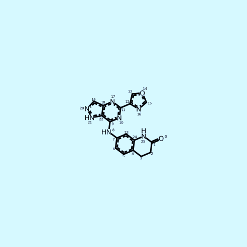 O=C1CCc2ccc(Nc3nc(-c4cocn4)nc4cn[nH]c34)cc2N1